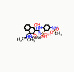 C=C(C)CC1(NOC)C(=O)C(C2=NS(O)(O)c3cc(NS(C)(=O)=O)ccc3N2)=C(O)c2ccccc21